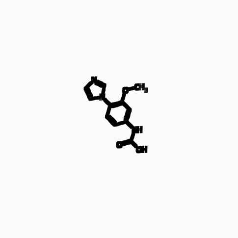 COc1cc(NC(=O)O)ccc1-n1ccnc1